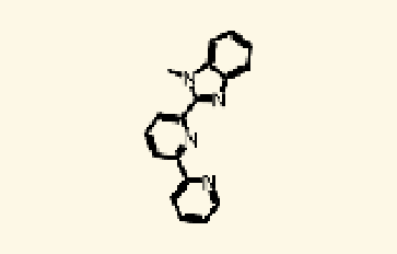 Cn1c(-c2cccc(-c3ccccn3)n2)nc2ccccc21